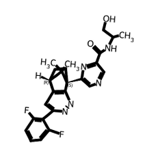 CC(CO)NC(=O)c1cncc([C@@]23CC[C@@H](c4cc(-c5c(F)cccc5F)nnc42)C3(C)C)n1